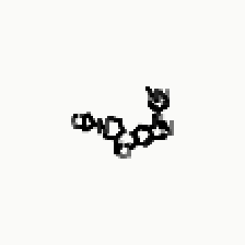 Cn1cc(-n2ncc3cc(Cl)c([C@H]4CCN(C5COC5)C[C@@H]4F)cc32)cn1